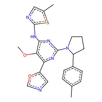 COc1c(Nc2ncc(C)s2)nc(N2CCCC2c2ccc(C)cc2)nc1-c1cnco1